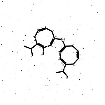 CC1=C(\C(C)C)C/C=C\C/C(B/C2=C/C=C(/C(C)C)C/C=C\C2)=C\1